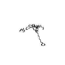 CC/C(C)=C(\CCCCCCCCCC=O)C(=O)NN